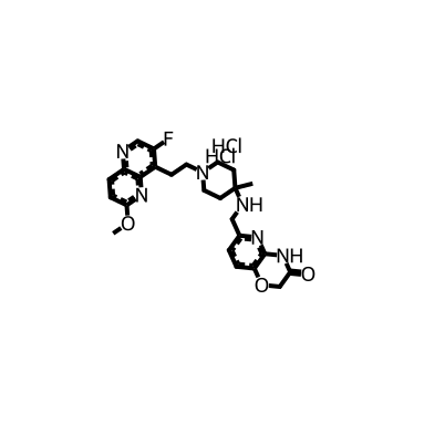 COc1ccc2ncc(F)c(CCN3CCC(C)(NCc4ccc5c(n4)NC(=O)CO5)CC3)c2n1.Cl.Cl